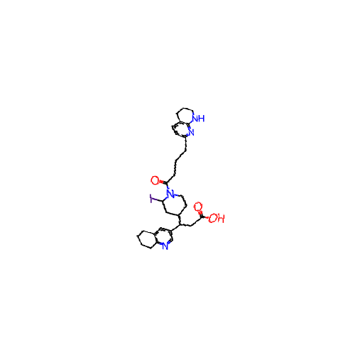 O=C(O)CC(c1cnc2c(c1)CCCC2)C1CCN(C(=O)CCCc2ccc3c(n2)NCCC3)C(I)C1